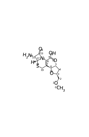 COC[C@@H]1CC[C@H](C2=C(C(=O)O)N3C(=O)[C@@H](N)[C@H]3SC2)O1